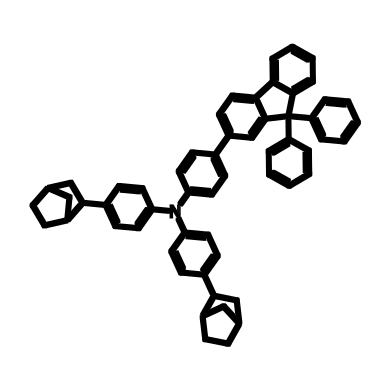 c1ccc(C2(c3ccccc3)c3ccccc3-c3ccc(-c4ccc(N(c5ccc(C6CC7CCC6C7)cc5)c5ccc(C6CC7CCC6C7)cc5)cc4)cc32)cc1